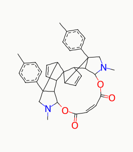 Cc1ccc(C23CN(C)C4OC(=O)/C=C\C(=O)OC5C6C7C=CC(C6(c6ccc(C)cc6)CN5C)C75C(C=CC25)C43)cc1